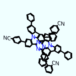 N#Cc1ccc(-c2ccc(-c3nc(-c4ccc(-c5ccccc5C#N)cc4)nc(-c4ccc(-c5ccc(C#N)cc5)cc4-n4c5ccc(-c6ccccc6)cc5c5cc(-c6ccccc6)ccc54)n3)c(-n3c4ccc(-c5ccccc5)cc4c4cc(-c5ccccc5)ccc43)c2)cc1